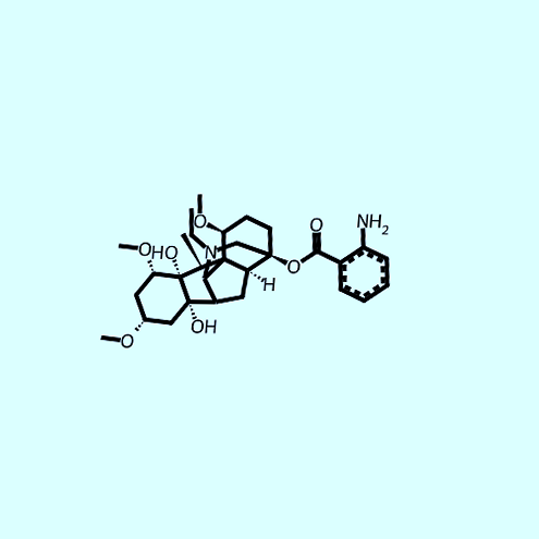 CCN1C[C@]2(OC(=O)c3ccccc3N)CC[C@H](OC)C34C1C(C[C@@H]32)[C@@]1(O)C[C@H](OC)C[C@H](OC)[C@@]1(O)[C@H]4C